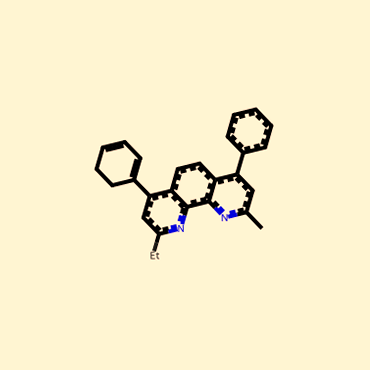 CCc1cc(C2=CC=CCC2)c2ccc3c(-c4ccccc4)cc(C)nc3c2n1